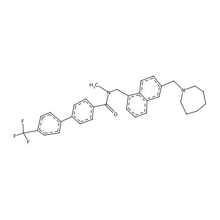 CN(Cc1cccc2cc(CN3CCCCCC3)ccc12)C(=O)c1ccc(-c2ccc(C(F)(F)F)cc2)cc1